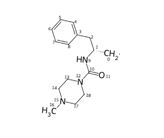 [CH2][C@@H](Cc1ccccc1)NC(=O)N1CCN(C)CC1